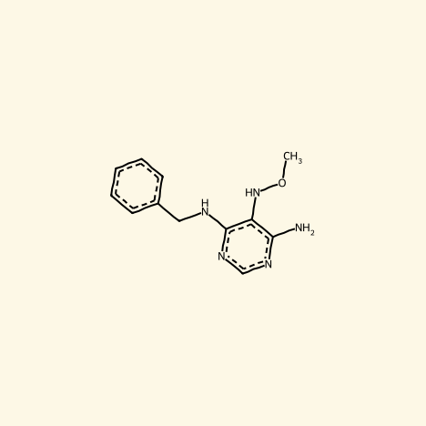 CONc1c(N)ncnc1NCc1ccccc1